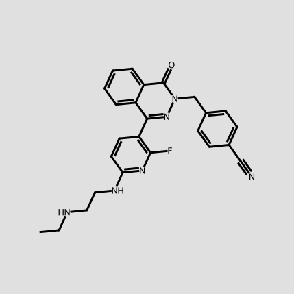 CCNCCNc1ccc(-c2nn(Cc3ccc(C#N)cc3)c(=O)c3ccccc23)c(F)n1